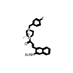 CC(=O)Nc1cc2ccccc2cc1/C=C/C(=O)N1CCN(Cc2ccc(F)cc2)C[C@H]1C